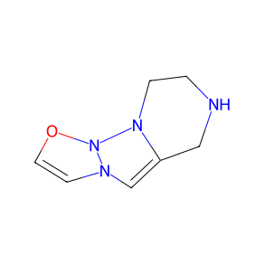 C1=CN2C=C3CNCCN3N2O1